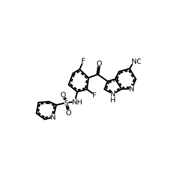 [C-]#[N+]c1cnc2[nH]cc(C(=O)c3c(F)ccc(NS(=O)(=O)c4ccccn4)c3F)c2c1